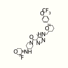 Cc1c(NCC2CCC[C@@H](c3ccc(OC(F)(F)F)cc3)O2)ncnc1C(=O)N1CCC(N[C@H]2CCOC[C@H]2F)CC1